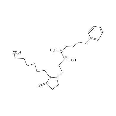 C[C@H](CCCCc1ccccc1)[C@H](O)CCC1CCC(=O)N1CCCCCCC(=O)O